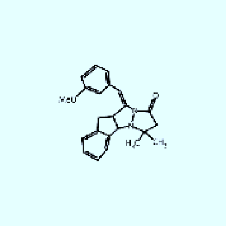 COc1cccc(/C=C2\C3Cc4ccccc4C3N3N2C(=O)CC3(C)C)c1